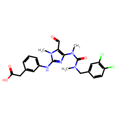 CN(Cc1ccc(Cl)c(Cl)c1)C(=O)N(C)c1nc(Nc2cccc(CC(=O)O)c2)n(C)c1C=O